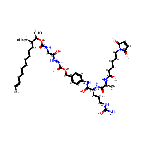 CCC=CCC=CCCCCCC(CCCCCCC)C(C=O)OC(=O)NCC(=O)NNC(=O)OCc1ccc(NC(=O)[C@H](CCCNC(N)=O)NC(=O)[C@@H](NC(=O)CCCCCN2C(=O)C=CC2=O)C(C)C)cc1